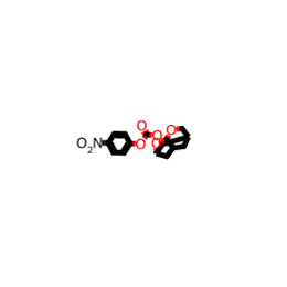 O=C(Oc1ccc([N+](=O)[O-])cc1)OC1C2COC3OC1CC3C2